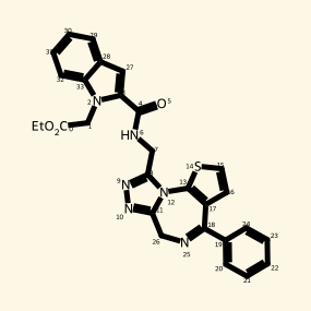 CCOC(=O)Cn1c(C(=O)NCc2nnc3n2-c2sccc2C(c2ccccc2)=NC3)cc2ccccc21